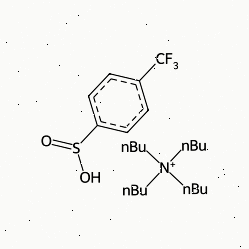 CCCC[N+](CCCC)(CCCC)CCCC.O=S(O)c1ccc(C(F)(F)F)cc1